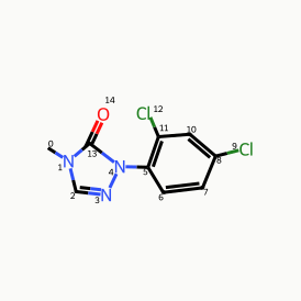 Cn1cnn(-c2ccc(Cl)cc2Cl)c1=O